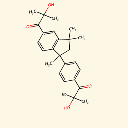 CCC(C)(O)C(=O)c1ccc(C2(C)CC(C)(C)c3cc(C(=O)C(C)(C)O)ccc32)cc1